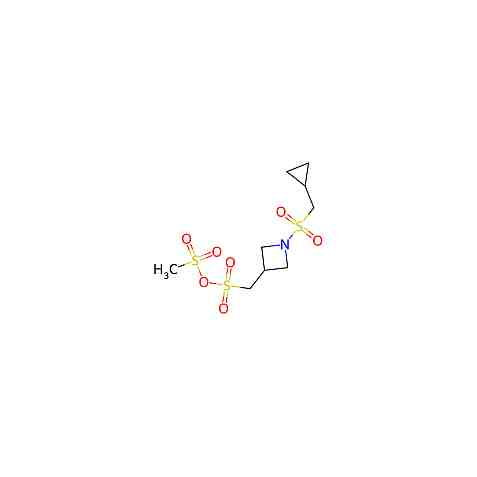 CS(=O)(=O)OS(=O)(=O)CC1CN(S(=O)(=O)CC2CC2)C1